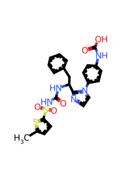 Cc1ccc(S(=O)(=O)NC(=O)NC(Cc2ccccc2)c2nccn2-c2ccc(NC(=O)O)cc2)s1